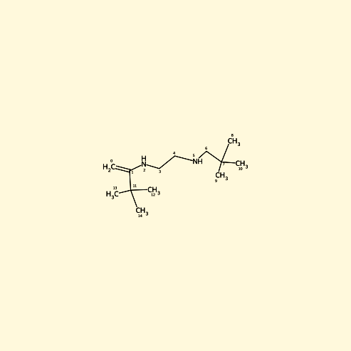 C=C(NCCNCC(C)(C)C)C(C)(C)C